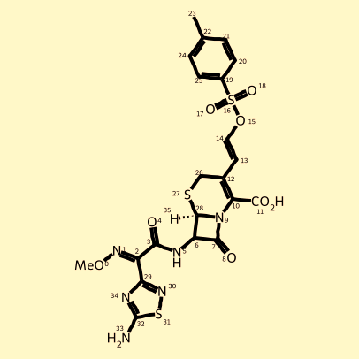 CO/N=C(/C(=O)NC1C(=O)N2C(C(=O)O)=C(/C=C/OS(=O)(=O)c3ccc(C)cc3)CS[C@H]12)c1nsc(N)n1